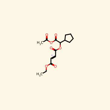 CCOC(=O)/C=C/C(=O)OC(C(=O)OC(C)=O)C1CCCC1